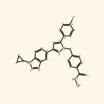 O=C(NO)c1ccc(Cn2nc(-c3ccc4c(c3)nnn4C3CC3)cc2-c2ccc(F)cc2)cc1